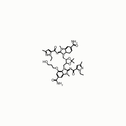 CCn1nc(C)cc1C(=O)/N=C1\N(C)C2=CC(C(N)=O)=CCC2N1C[C@H]1OC(C)(C)OC1Cn1/c(=N/C(=O)c2cc(C)nn2CC)n(C)c2cc(C(N)=O)cc(OCCCO)c21